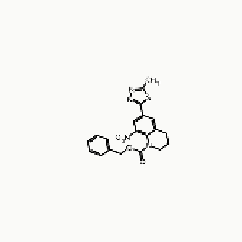 Cc1nnc(-c2cc3c(c([N+](=O)[O-])c2)N(C(=O)OCc2ccccc2)CCC3)s1